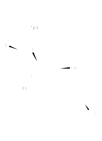 C[C@]12CC[C@@]3(O)[C@@H](C(O)=CC4C[C@H](O)C=C[C@@]43C)[C@@H]1C[C@@H](F)[C@@H]2N